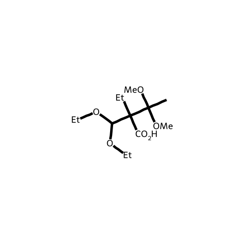 CCOC(OCC)C(CC)(C(=O)O)C(C)(OC)OC